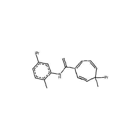 C=C(Nc1cc(C(C)C)ccc1C)C1=CC=CC(C)(C(C)C)C=C1